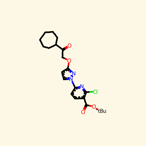 CC(C)(C)OC(=O)c1ccc(-n2ccc(OCC(=O)C3CCCCCC3)n2)nc1Cl